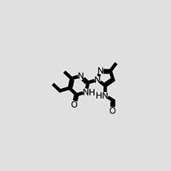 CCc1c(C)nc(-n2nc(C)cc2NC=O)[nH]c1=O